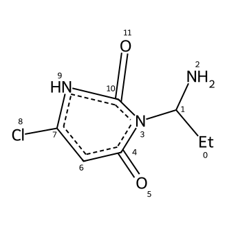 CCC(N)n1c(=O)cc(Cl)[nH]c1=O